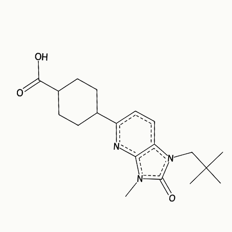 Cn1c(=O)n(CC(C)(C)C)c2ccc(C3CCC(C(=O)O)CC3)nc21